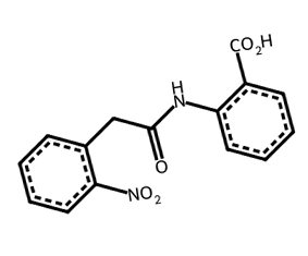 O=C(Cc1ccccc1[N+](=O)[O-])Nc1ccccc1C(=O)O